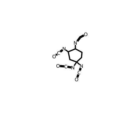 O=C=NC1CCC(N=C=O)(N=C=O)CC1N=C=O